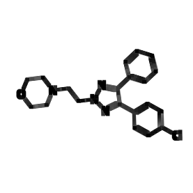 Clc1ccc(-c2nn(CCN3CCOCC3)nc2-c2ccccc2)cc1